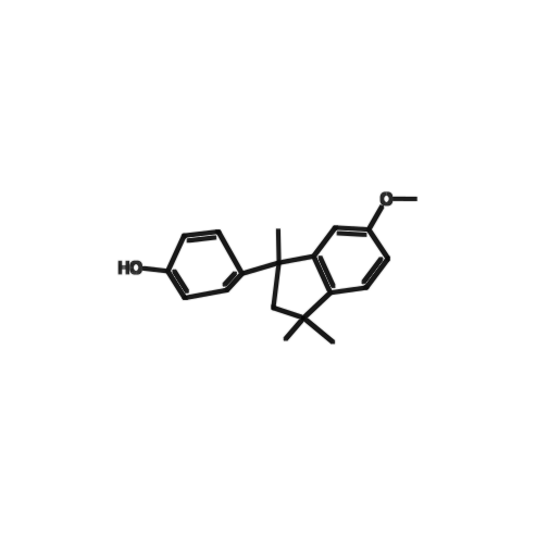 COc1ccc2c(c1)C(C)(c1ccc(O)cc1)CC2(C)C